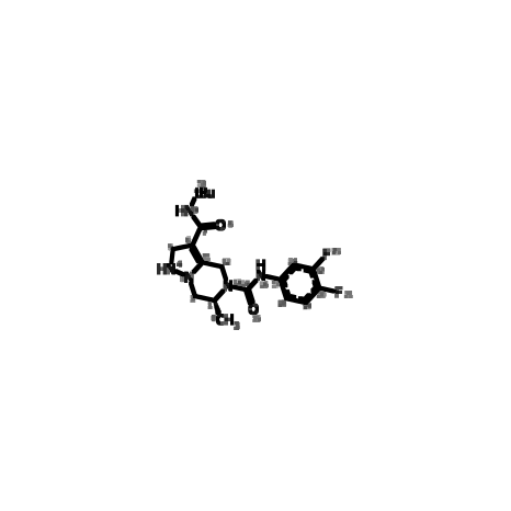 C[C@H]1CN2NCC(C(=O)NC(C)(C)C)=C2CN1C(=O)Nc1ccc(F)c(F)c1